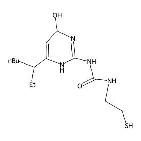 CCCCC(CC)C1=CC(O)N=C(NC(=O)NCCS)N1